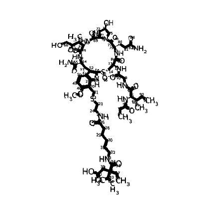 CCC(=O)N[C@H](C(=O)NCC(=O)N[C@H]1C[S+]([O-])c2[nH]c3c(CSCCNC(=O)CCCCCNC(=O)C(CC)(CC(=O)O)C(C)C)c(OC)ccc3c2C[C@@H](C(N)=O)NC(=O)[C@H]([C@@H](C)[C@@H](O)CO)NC(=O)[C@@H]2C[C@@H](O)CN2C(=O)[C@H](CCC(N)=O)NC1=O)[C@@H](C)CC